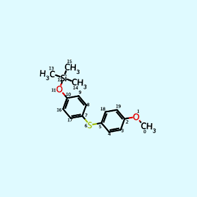 COc1ccc(Sc2ccc(O[Si](C)(C)C)cc2)cc1